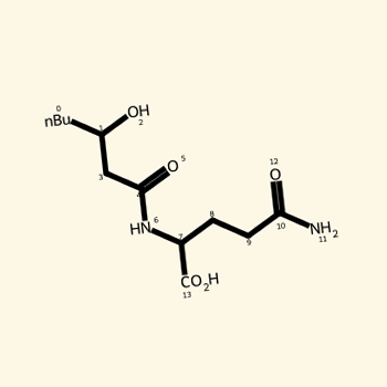 CCCCC(O)CC(=O)NC(CCC(N)=O)C(=O)O